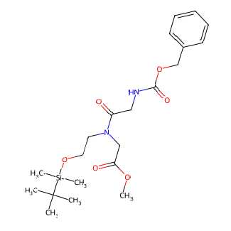 COC(=O)CN(CCO[Si](C)(C)C(C)(C)C)C(=O)CNC(=O)OCc1ccccc1